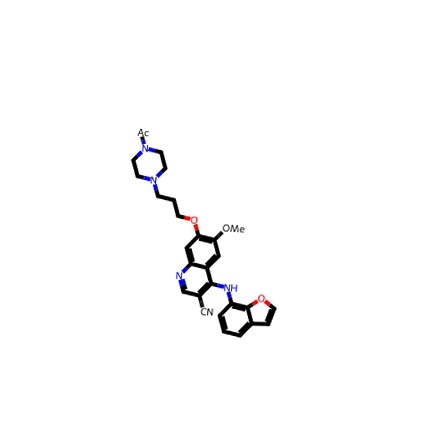 COc1cc2c(Nc3cccc4ccoc34)c(C#N)cnc2cc1OCCCN1CCN(C(C)=O)CC1